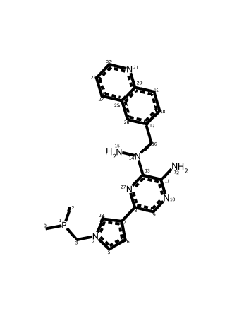 CP(C)Cn1ccc(-c2cnc(N)c(N(N)Cc3ccc4ncccc4c3)n2)c1